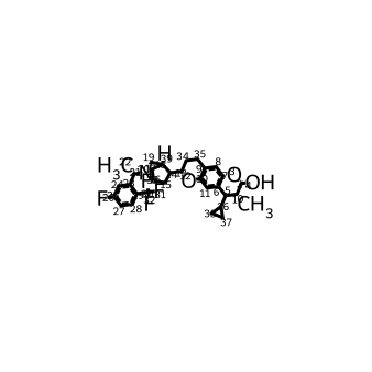 CC(C(=O)O)C(c1ccc2c(c1)OC(C1CC3C[C@@H]1CN3C(C)c1cc(F)ccc1C(F)(F)F)CC2)C1CC1